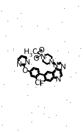 CS(=O)(=O)N1CCN(n2cnc3cnc4cc(F)c(-c5ccc(Oc6ncccn6)cc5Cl)cc4c32)CC1